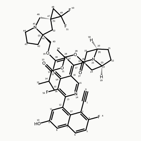 C#Cc1c(F)ccc2cc(O)cc(-c3ncc4c(N5C[C@H]6CC[C@@H](C5)N6C(=O)OC(C)OC(=O)C(C)C)nc(OC[C@@]56CCCN5C[C@@]5(CC5(F)F)C6)nc4c3F)c12